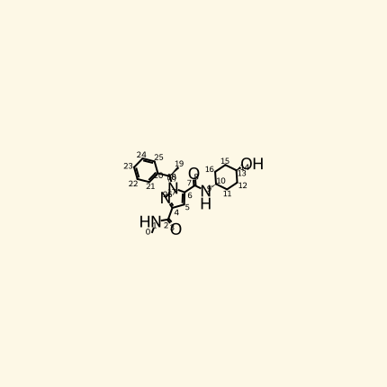 CNC(=O)c1cc(C(=O)N[C@H]2CC[C@H](O)CC2)n([C@H](C)c2ccccc2)n1